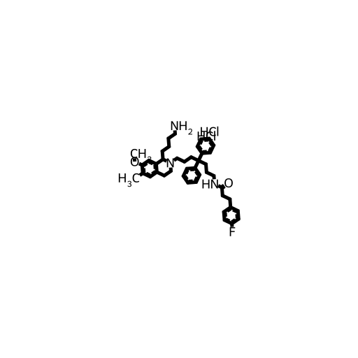 COc1cc2c(cc1C)CCN(CCCC(CCCNC(=O)CCc1ccc(F)cc1)(c1ccccc1)c1ccccc1)C2CCCCN.Cl.Cl